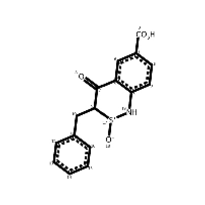 O=C(O)c1ccc2c(c1)C(=O)C(Cc1ccccc1)[S+]([O-])N2